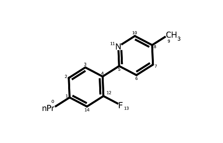 CCCc1ccc(-c2ccc(C)cn2)c(F)c1